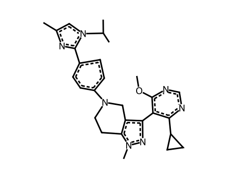 COc1ncnc(C2CC2)c1-c1nn(C)c2c1CN(c1ccc(-c3nc(C)cn3C(C)C)cc1)CC2